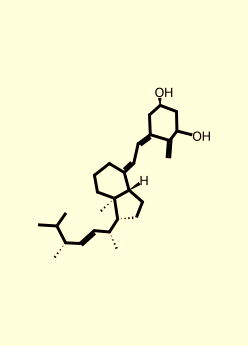 C=C1/C(=C\C=C2/CCC[C@]3(C)[C@@H]([C@H](C)/C=C/[C@H](C)C(C)C)CC[C@@H]23)C[C@@H](O)CC1O